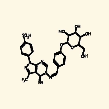 N=c1c2c(C(F)(F)F)nn(-c3ccc(S(=O)(=O)O)cc3)c2ncn1/N=C\c1ccc(OC2OC(CO)C(O)C(O)C2O)cc1